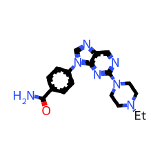 CCN1CCN(c2ncc3ncn(-c4ccc(C(N)=O)cc4)c3n2)CC1